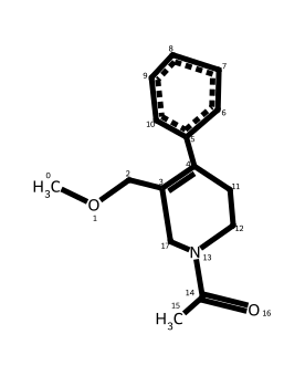 COCC1=C(c2ccccc2)CCN(C(C)=O)C1